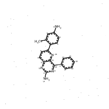 Cc1cc(N)ccc1-c1ccc2nc(N)nc(-c3ccccc3)c2n1